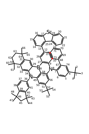 CC(C)(C)c1ccc(N2c3ccc(-c4cccc5sc6ccccc6c45)cc3B3c4cc5c(cc4N(c4ccc6c(c4)C(C)(C)CC6(C)C)c4cc(C(C)(C)C)cc2c43)C(C)(C)CCC5(C)C)c(-c2ccccc2)c1